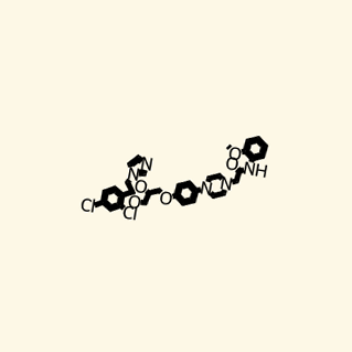 COc1ccccc1NC(=O)CN1CCN(c2ccc(OCC3COC(Cn4ccnc4)(c4ccc(Cl)cc4Cl)O3)cc2)CC1